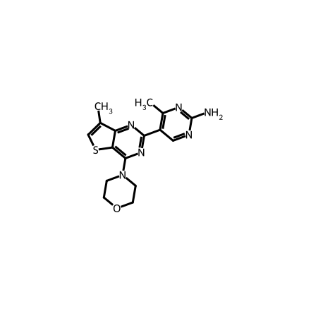 Cc1nc(N)ncc1-c1nc(N2CCOCC2)c2scc(C)c2n1